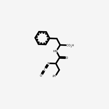 CC(C)CC(N=C=O)C(=O)NC(Cc1ccccc1)C(=O)O